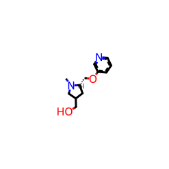 CN1CC(CO)C[C@H]1COc1cccnc1